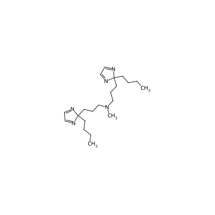 CCCCC1(CCCN(C)CCCC2(CCCC)N=CC=N2)N=CC=N1